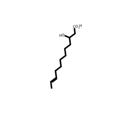 C/C=C/CCCCCCC(O)CC(=O)O